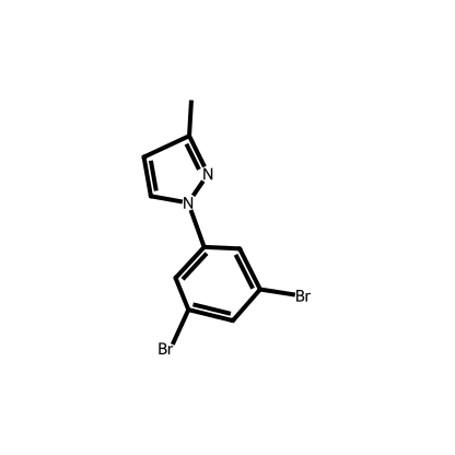 Cc1ccn(-c2cc(Br)cc(Br)c2)n1